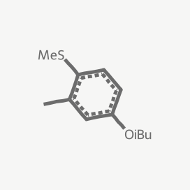 CSc1ccc(OCC(C)C)cc1C